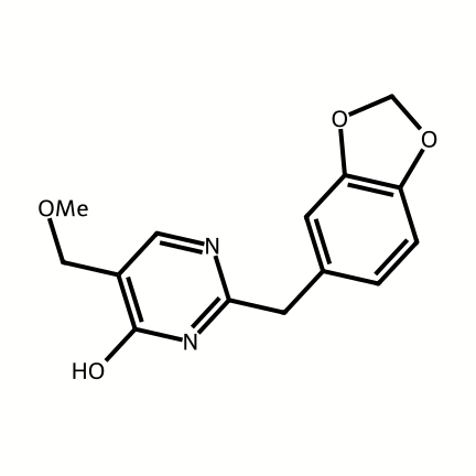 COCc1cnc(Cc2ccc3c(c2)OCO3)nc1O